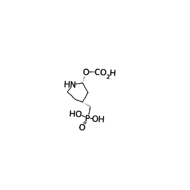 O=C(O)O[C@@H]1C[C@H](CP(=O)(O)O)CCN1